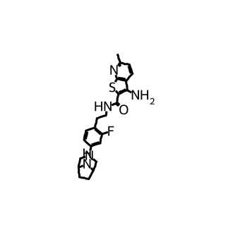 Cc1ccc2c(N)c(C(=O)NCCc3ccc(N4CC5CCC(C4)N5)cc3F)sc2n1